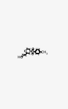 Cc1ccc(S(=O)(=O)N2CCOC(C=NO)C2)cc1